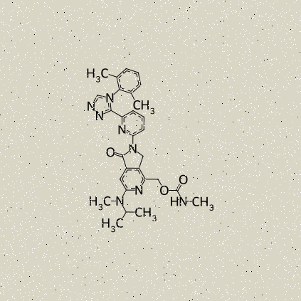 CNC(=O)OCc1nc(N(C)C(C)C)cc2c1CN(c1cccc(-c3nncn3-c3c(C)cccc3C)n1)C2=O